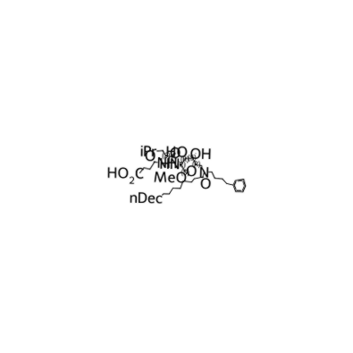 CCCCCCCCCCCCCCCCCC(=O)N(CCCCc1ccccc1)C[C@H]1O[C@H](OC)[C@H](NC(=O)[C@H](CC(C)C)NC(=O)CCC(=O)O)[C@@H](O)[C@@H]1O